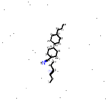 CC/C=C/CC[C@]1(C#N)CC[C@@H](C2CCC(CCC)CC2)CC1